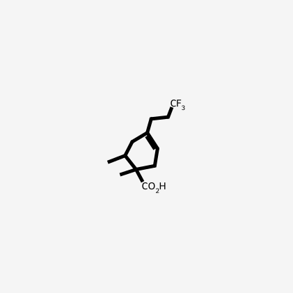 CC1CC(CCC(F)(F)F)=CCC1(C)C(=O)O